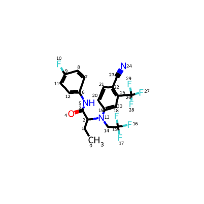 CCC(C(=O)Nc1ccc(F)cc1)N(CC(F)(F)F)c1ccc(C#N)c(C(F)(F)F)c1